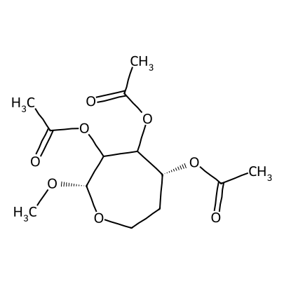 CO[C@H]1OCC[C@@H](OC(C)=O)C(OC(C)=O)C1OC(C)=O